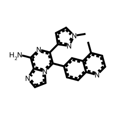 Cc1ccnc2ccc(-c3c(-c4ccn(C)n4)nc(N)c4nccn34)cc12